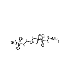 CC(C)(C)S(=O)(=O)CCOCC(C)(C)S(=O)(=O)CCN